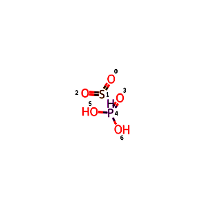 O=S=O.O=[PH](O)O